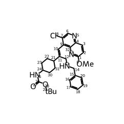 COc1ccc2ncc(Cl)c(C=C(CNCc3ccccc3)C3CCC(NC(=O)OC(C)(C)C)CC3)c2n1